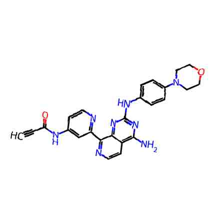 C#CC(=O)Nc1ccnc(-c2nccc3c(N)nc(Nc4ccc(N5CCOCC5)cc4)nc23)c1